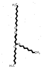 CCCCCCCCCCOCOC=CCCC(OCCCCCCCC)OCCCCCCCC